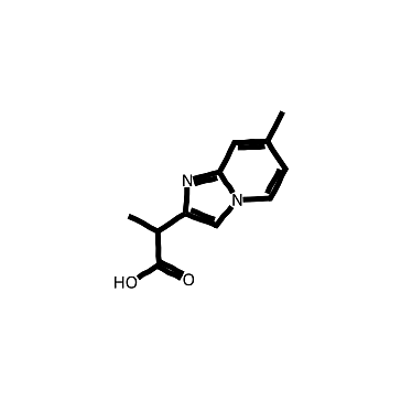 Cc1ccn2cc(C(C)C(=O)O)nc2c1